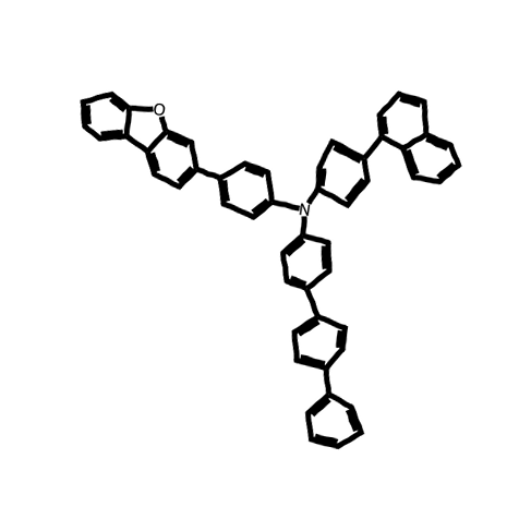 c1ccc(-c2ccc(-c3ccc(N(c4ccc(-c5ccc6c(c5)oc5ccccc56)cc4)c4ccc(-c5cccc6ccccc56)cc4)cc3)cc2)cc1